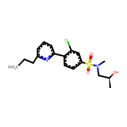 CCOC(=O)CCc1cccc(-c2ccc(S(=O)(=O)N(C)C[C@H](C)O)cc2Cl)n1